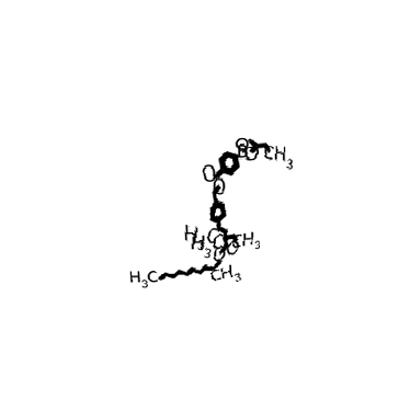 CCCCCCCCCC(C)COC(=O)C(C)(CC)CC(C)c1ccc(COC(=O)c2ccc(B3OCC(CC)O3)cc2)cc1